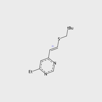 CCc1cc(/C=C/SCC(C)(C)C)ncn1